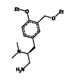 CCOCc1cc(C[C@@H](CN)N(C)C)ccc1OCC